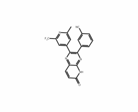 Cc1cc(-c2nc3ccc(=O)[nH]c3nc2-c2cccc(C#N)c2)cc(C(F)(F)F)n1